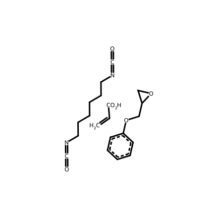 C=CC(=O)O.O=C=NCCCCCCN=C=O.c1ccc(OCC2CO2)cc1